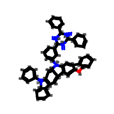 c1ccc(C2NC(c3ccccc3)NC(c3cccc(-n4c5cc6c(cc5c5cc7c8ccccc8n(-c8ccccc8)c7cc54)oc4ccccc46)c3)N2)cc1